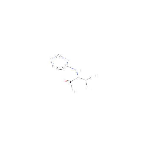 CC(=O)[C@@H](Nc1ccncn1)C(C)C